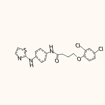 O=C(CCCOc1ccc(Cl)cc1Cl)Nc1ccc(Nc2nccs2)cc1